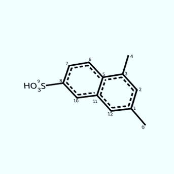 Cc1cc(C)c2ccc(S(=O)(=O)O)cc2c1